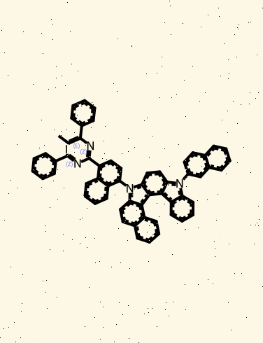 C/C=C(/N=C(\N=C(/I)c1ccccc1)c1ccc(-n2c3ccc4ccccc4c3c3c4c5ccccc5n(-c5ccc6ccccc6c5)c4ccc32)c2ccccc12)c1ccccc1